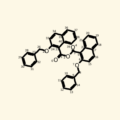 O=C(OC(=O)c1c(OCc2ccccc2)ccc2ccccc12)c1c(OCc2ccccc2)ccc2ccccc12